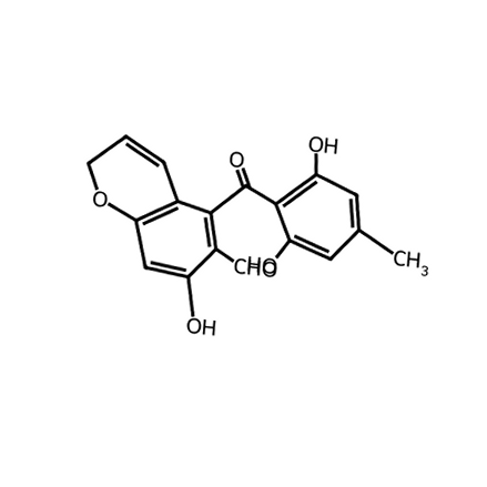 Cc1cc(O)c(C(=O)c2c(C=O)c(O)cc3c2C=CCO3)c(O)c1